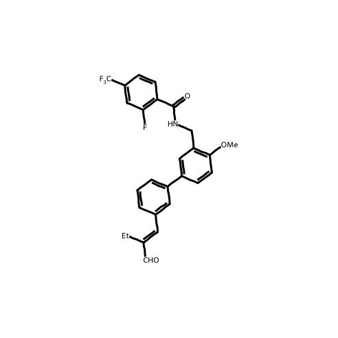 CC/C(C=O)=C\c1cccc(-c2ccc(OC)c(CNC(=O)c3ccc(C(F)(F)F)cc3F)c2)c1